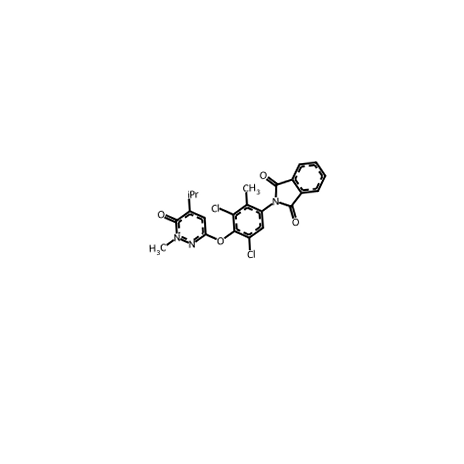 Cc1c(N2C(=O)c3ccccc3C2=O)cc(Cl)c(Oc2cc(C(C)C)c(=O)n(C)n2)c1Cl